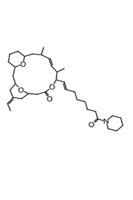 C/C=C1\CC2CC(=O)OC(/C=C/CCCCCC(=O)N3CCCCC3)C(C)/C=C/C(C)CC3CCCC(CC(C1)O2)O3